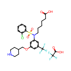 O=C(O)C(F)(F)F.O=C(O)CCCCCN(c1cc(OCC2CCNCC2)cc(C(F)(F)F)c1)S(=O)(=O)c1ccccc1Cl